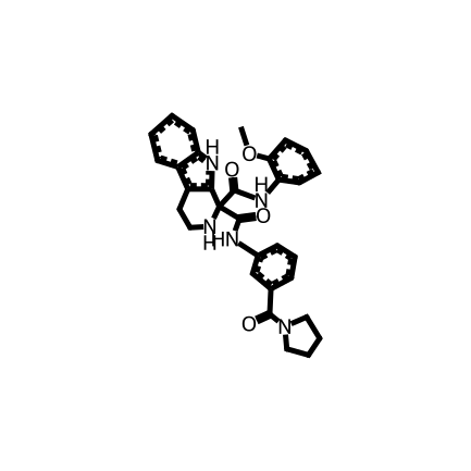 COc1ccccc1NC(=O)C1(C(=O)Nc2cccc(C(=O)N3CCCC3)c2)NCCc2c1[nH]c1ccccc21